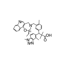 CC[C@@H]1CN(Cc2cc(C(c3ccc4c(nnn4C)c3C)C(C)(C)C(=O)O)ccc2C)Cc2cnc3ccccc3c2O1